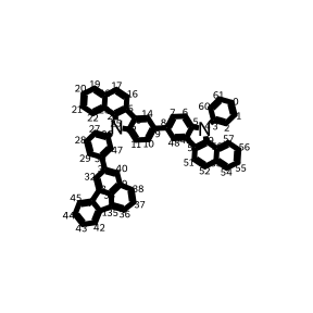 c1ccc(-n2c3ccc(-c4ccc5c(c4)c4ccc6ccccc6c4n5-c4cccc(-c5cc6c7c(cccc7c5)-c5ccccc5-6)c4)cc3c3ccc4ccccc4c32)cc1